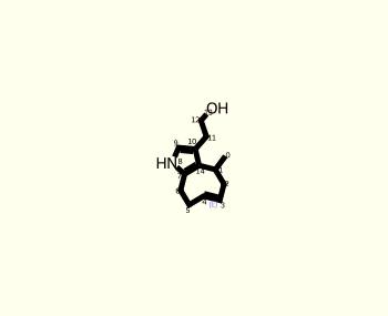 CC1C/C=C/CCc2[nH]cc(CCO)c21